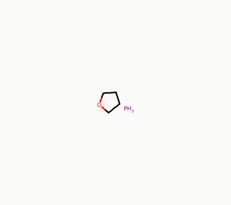 C1CCOC1.P